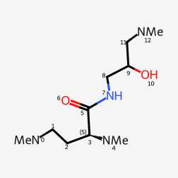 CNCC[C@H](NC)C(=O)NCC(O)CNC